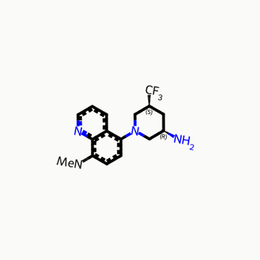 CNc1ccc(N2C[C@H](N)C[C@H](C(F)(F)F)C2)c2cccnc12